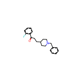 O=C(CCC1CCN(Cc2ccccc2)CC1)c1ccccc1F